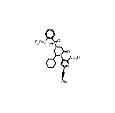 CC(C)(C)C#Cc1cc(N2C(=O)CN(S(=O)(=O)c3ccccc3OC(F)(F)F)CC2C2CCCCC2)c(C(=O)O)s1